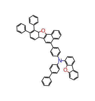 C1=CC2c3cc(-c4ccc(N(c5ccc(-c6ccccc6)cc5)c5cccc6c5oc5ccccc56)cc4)c4ccccc4c3OC2C(c2ccccc2)=C1c1ccccc1